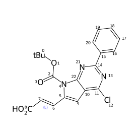 CC(C)(C)OC(=O)n1c(/C=C/C(=O)O)cc2c(Cl)nc(-c3ccccc3)nc21